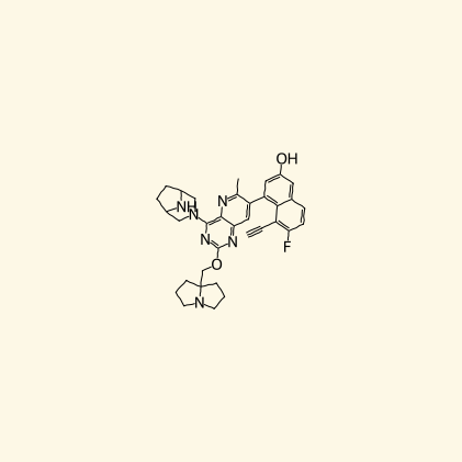 C#Cc1c(F)ccc2cc(O)cc(-c3cc4nc(OCC56CCCN5CCC6)nc(N5CC6CCC(C5)N6)c4nc3C)c12